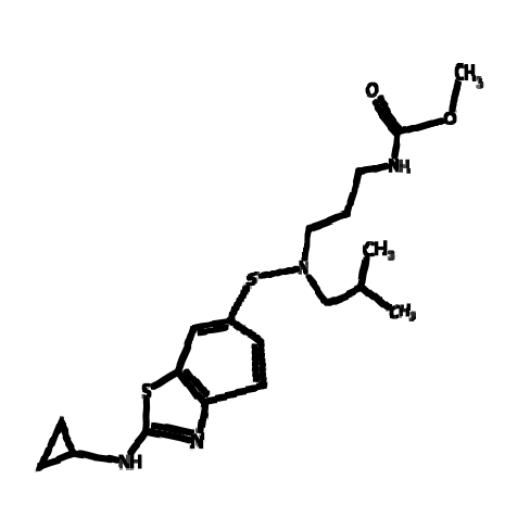 COC(=O)NCCCN(CC(C)C)Sc1ccc2nc(NC3CC3)sc2c1